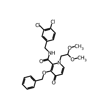 COC(Cn1ccc(=O)c(OCc2ccccc2)c1C(=O)NCc1ccc(Cl)c(Cl)c1)OC